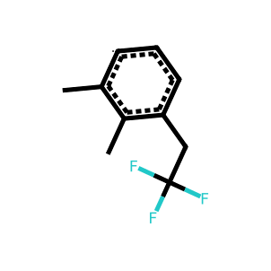 Cc1[c]ccc(CC(F)(F)F)c1C